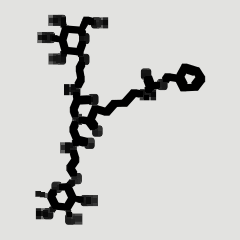 C[C@@H]1O[C@@H](OCCNC(=O)CN(CC(=O)NCCO[C@H]2O[C@H](CO)[C@@H](O)[C@H](O)[C@@H]2O)C(=O)CCCCCNC(=O)OCc2ccccc2)[C@@H](O)[C@H](O)[C@@H]1O